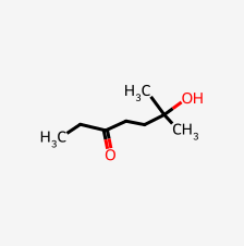 CCC(=O)CCC(C)(C)O